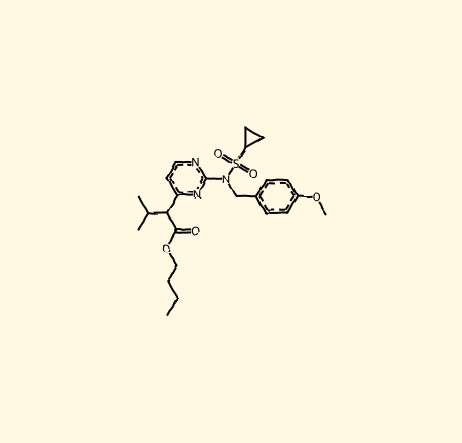 CCCCOC(=O)C(c1ccnc(N(Cc2ccc(OC)cc2)S(=O)(=O)C2CC2)n1)C(C)C